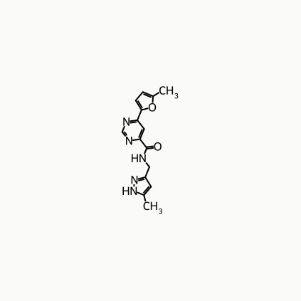 Cc1cc(CNC(=O)c2cc(-c3ccc(C)o3)ncn2)n[nH]1